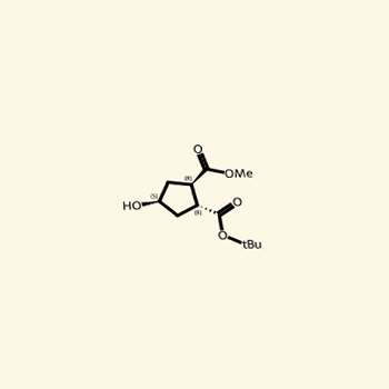 COC(=O)[C@@H]1C[C@H](O)C[C@H]1C(=O)OC(C)(C)C